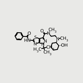 CN(CCN(C)[C@@H]1CCCC[C@H]1O)C(=O)c1nn(C(C)(C)C)c2nc(NC(=O)c3ccccc3)sc12